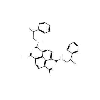 CC(CNC(=O)c1ccc(C(=O)NCC(C)c2ccccc2)c2c(C(=O)O)ccc(C(=O)O)c12)c1ccccc1